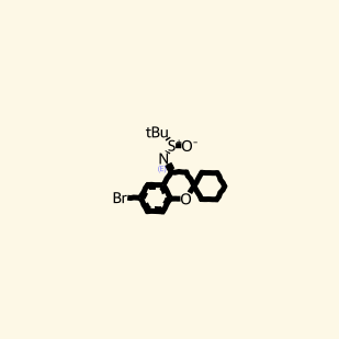 CC(C)(C)[S+]([O-])/N=C1\CC2(CCCCC2)Oc2ccc(Br)cc21